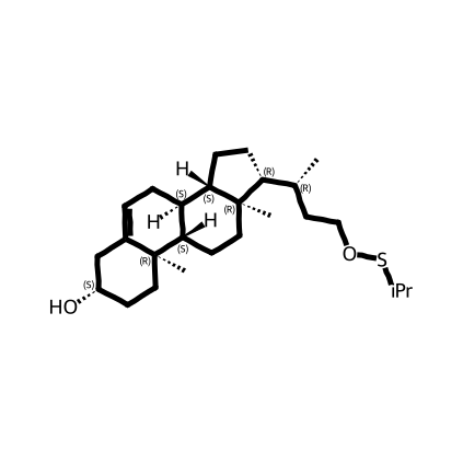 CC(C)SOCC[C@@H](C)[C@H]1CC[C@H]2[C@@H]3CC=C4C[C@@H](O)CC[C@]4(C)[C@H]3CC[C@]12C